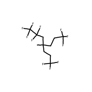 CC(CCC(F)(F)F)(CCC(F)(F)F)CC(F)(F)C(F)(F)F